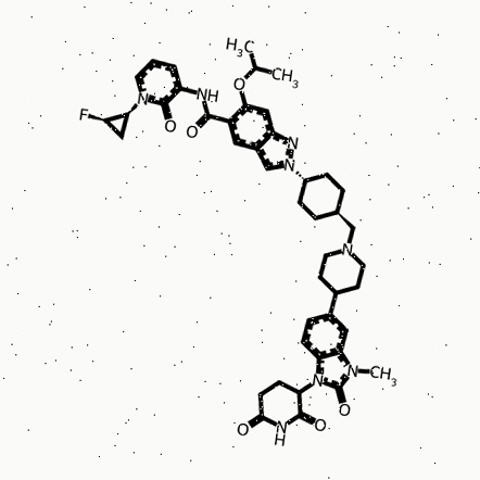 CC(C)Oc1cc2nn([C@H]3CC[C@H](CN4CCC(c5ccc6c(c5)n(C)c(=O)n6C5CCC(=O)NC5=O)CC4)CC3)cc2cc1C(=O)Nc1cccn([C@H]2C[C@H]2F)c1=O